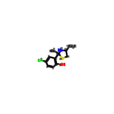 CCCCC1(c2cc(Cl)ccc2O)NC(C(=O)O)CS1